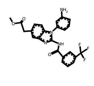 COC(=O)Cc1ccc2c(c1)nc(NC(=O)c1cccc(C(F)(F)F)c1)n2-c1cccc(N)c1